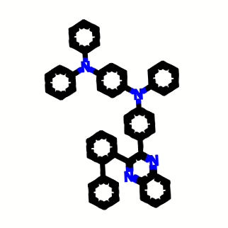 c1ccc(-c2ccccc2-c2nc3ccccc3nc2-c2ccc(N(c3ccccc3)c3ccc(N(c4ccccc4)c4ccccc4)cc3)cc2)cc1